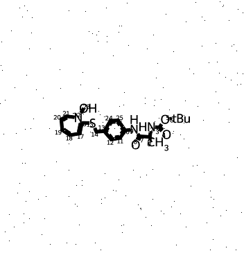 C[C@H](NC(=O)OC(C)(C)C)C(=O)Nc1ccc(CSC2=CC=CC=CN2O)cc1